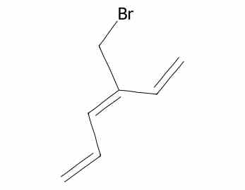 C=C/C=C(\C=C)CBr